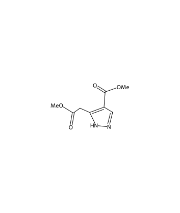 COC(=O)Cc1[nH]ncc1C(=O)OC